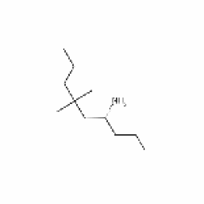 CCCC(C)(C)C[C@H](N)CCI